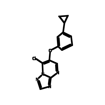 Clc1c(Oc2cccc(C3CC3)c2)cnc2ncnn12